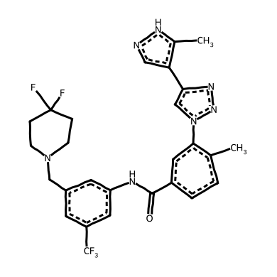 Cc1ccc(C(=O)Nc2cc(CN3CCC(F)(F)CC3)cc(C(F)(F)F)c2)cc1-n1cc(-c2cn[nH]c2C)nn1